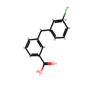 O=C(O)c1cccc(Cc2cccc(F)c2)c1